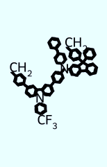 C=Cc1ccc(-c2ccc3c(c2)c2cc(-c4ccc(N(c5ccc6c(c5)C(c5ccccc5)(c5ccc(C=C)cc5)c5ccccc5-6)C5C=CC(c6ccccc6)=CC5)cc4)ccc2n3-c2ccc(C(F)(F)F)cc2)cc1